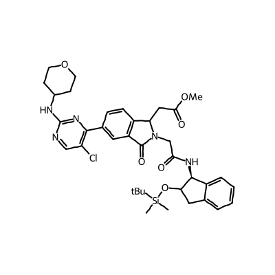 COC(=O)CC1c2ccc(-c3nc(NC4CCOCC4)ncc3Cl)cc2C(=O)N1CC(=O)N[C@H]1c2ccccc2CC1O[Si](C)(C)C(C)(C)C